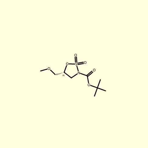 COC[C@H]1CN(C(=O)OC(C)(C)C)S(=O)(=O)O1